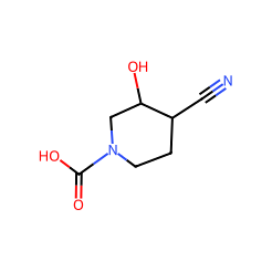 N#CC1CCN(C(=O)O)CC1O